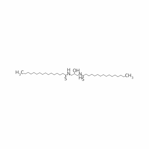 CCCCCCCCCCCCCCCC(=S)NCC(O)CNC(=S)CCCCCCCCCCCCCCC